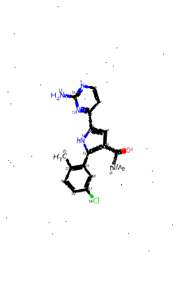 CNC(=O)c1cc(-c2ccnc(N)n2)[nH]c1-c1cc(Cl)ccc1C